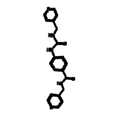 O=C(NCc1ccncc1)Nc1ccc(C(=O)NCc2ccncc2)cc1